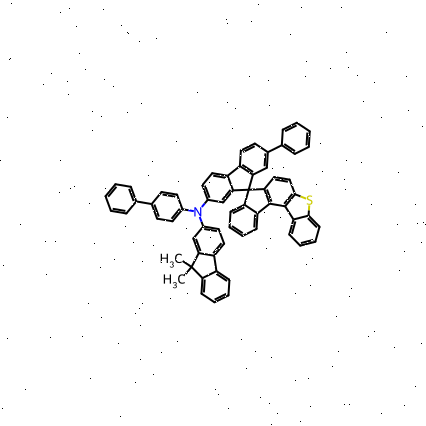 CC1(C)c2ccccc2-c2ccc(N(c3ccc(-c4ccccc4)cc3)c3ccc4c(c3)C3(c5cc(-c6ccccc6)ccc5-4)c4ccccc4-c4c3ccc3sc5ccccc5c43)cc21